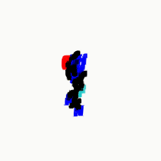 CCN1Cc2c(ccnc2NC(C)c2ccc(-c3ccnc(C(C)(C)C#N)c3)c(F)c2)C1=O